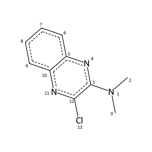 CN(C)c1nc2ccccc2nc1Cl